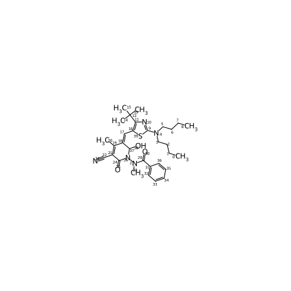 CCCCN(CCCC)c1nc(C(C)(C)C)c(/C=C2/C(C)=C(C#N)C(=O)N(N(C)C(=O)c3ccccc3)C2O)s1